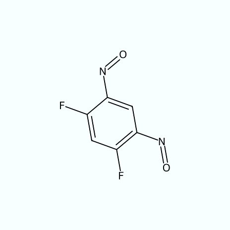 O=Nc1cc(N=O)c(F)cc1F